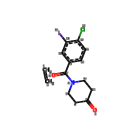 C=C.O=C1CCN(C(=O)c2ccc(Cl)c(I)c2)CC1